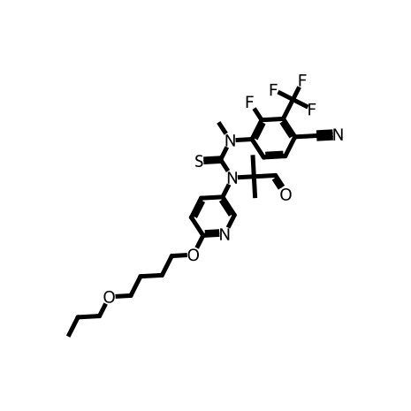 CCCOCCCCOc1ccc(N(C(=S)N(C)c2ccc(C#N)c(C(F)(F)F)c2F)C(C)(C)C=O)cn1